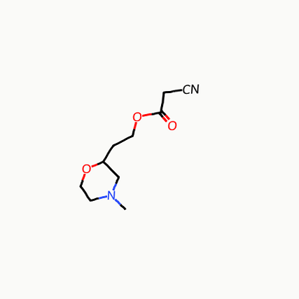 CN1CCOC(CCOC(=O)CC#N)C1